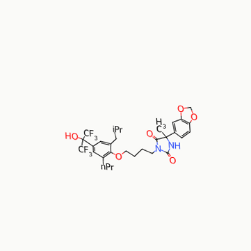 CCCc1cc(C(O)(C(F)(F)F)C(F)(F)F)cc(CC(C)C)c1OCCCCN1C(=O)NC(C)(c2ccc3c(c2)OCO3)C1=O